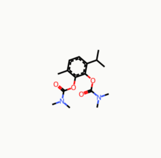 Cc1ccc(C(C)C)c(OC(=O)N(C)C)c1OC(=O)N(C)C